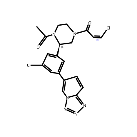 CC(=O)N1CCN(C(=O)/C=C\Cl)C[C@H]1c1cc(Cl)cc(-c2ccc3nnnn3c2)c1